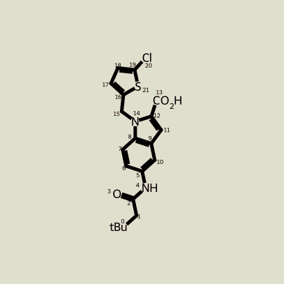 CC(C)(C)CC(=O)Nc1ccc2c(c1)cc(C(=O)O)n2Cc1ccc(Cl)s1